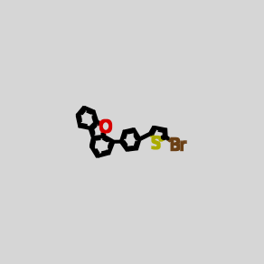 Brc1ccc(-c2ccc(-c3cccc4c3oc3ccccc34)cc2)s1